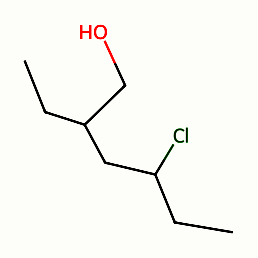 CCC(Cl)CC(CC)CO